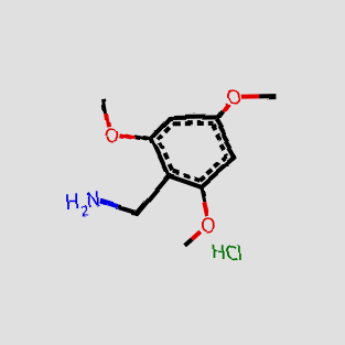 COc1cc(OC)c(CN)c(OC)c1.Cl